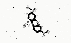 CCN(CC)c1ccc2nc3ccc(N(CC)CC)cc3[s+]c2c1.Cl.[Cl-].[Zn]